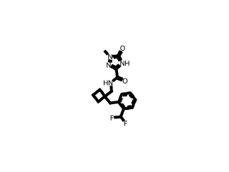 Cn1nc(C(=O)NCC2(Cc3ccccc3C(F)F)CCC2)[nH]c1=O